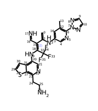 C=C(Nc1cnc(-n2nccn2)c(C)c1)/C(C=N)=C(/Nc1cnc(CCN)c2sccc12)C(F)(F)F